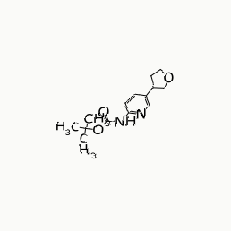 CC(C)(C)OC(=O)Nc1ccc(C2CCOC2)cn1